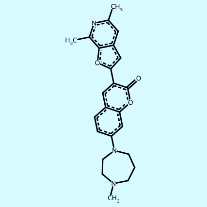 Cc1cc2cc(-c3cc4ccc(N5CCCN(C)CC5)cc4oc3=O)oc2c(C)n1